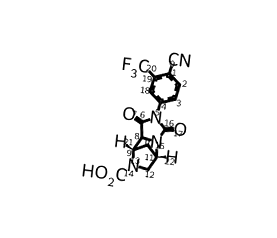 N#Cc1ccc(N2C(=O)C3[C@@H]4C[C@@H](CN4C(=O)O)N3C2=O)cc1C(F)(F)F